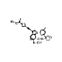 COC1(c2cc(C)cc(-n3cc(C#CC4CN(C(=O)OC(C)(C)C)C4)c4cnc(NC(C)=O)cc43)n2)CCOC1